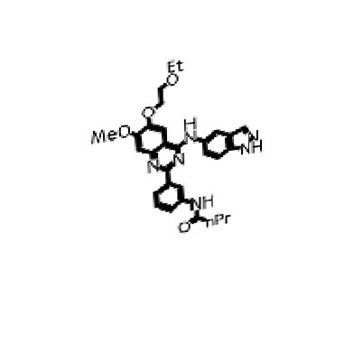 CCCC(=O)Nc1cccc(-c2nc(Nc3ccc4[nH]ncc4c3)c3cc(OCCOCC)c(OC)cc3n2)c1